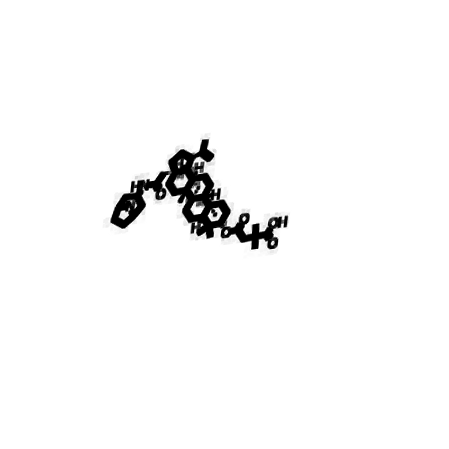 C=C(C)[C@@H]1CC[C@]2(CC(=O)NC3CC4CCC(C3)N4C)CC[C@]3(C)[C@H](CC[C@@H]4[C@@]5(C)CC[C@H](OC(=O)CC(C)(C)C(=O)O)C(C)(C)[C@@H]5CC[C@]43C)[C@@H]12